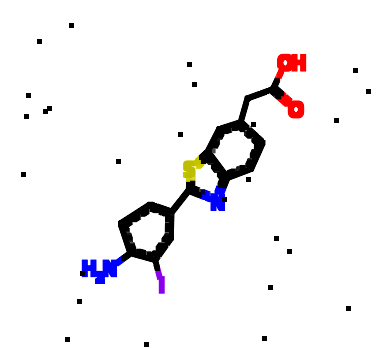 Nc1ccc(-c2nc3ccc(CC(=O)O)cc3s2)cc1I